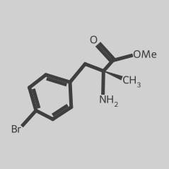 COC(=O)[C@](C)(N)Cc1ccc(Br)cc1